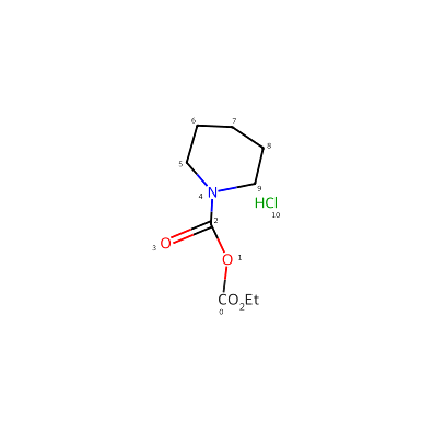 CCOC(=O)OC(=O)N1CCCCC1.Cl